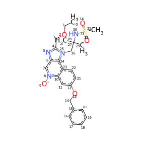 CCOCc1nc2c[n+]([O-])c3cc(OCc4ccccc4)ccc3c2n1CC(C)(C)NS(C)(=O)=O